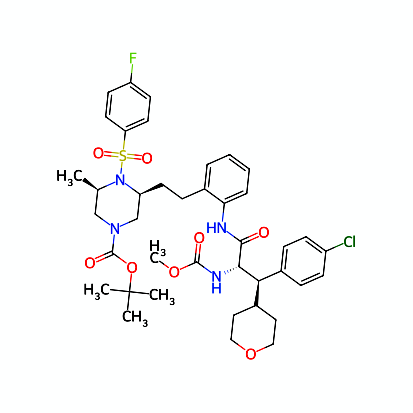 COC(=O)N[C@H](C(=O)Nc1ccccc1CC[C@H]1CN(C(=O)OC(C)(C)C)C[C@@H](C)N1S(=O)(=O)c1ccc(F)cc1)[C@@H](c1ccc(Cl)cc1)C1CCOCC1